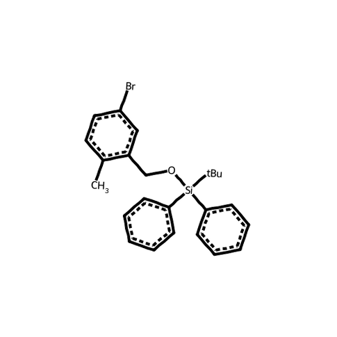 Cc1ccc(Br)cc1CO[Si](c1ccccc1)(c1ccccc1)C(C)(C)C